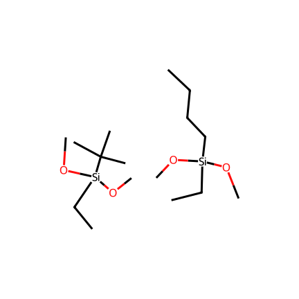 CCCC[Si](CC)(OC)OC.CC[Si](OC)(OC)C(C)(C)C